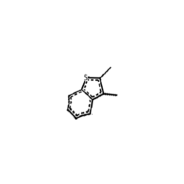 Cc1sc2ccc[c]c2c1C